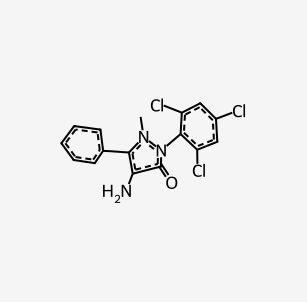 Cn1c(-c2ccccc2)c(N)c(=O)n1-c1c(Cl)cc(Cl)cc1Cl